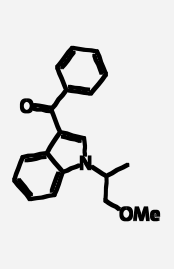 COCC(C)n1cc(C(=O)c2ccccc2)c2ccccc21